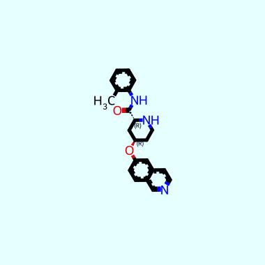 Cc1ccccc1NC(=O)[C@H]1C[C@H](Oc2ccc3cnccc3c2)CCN1